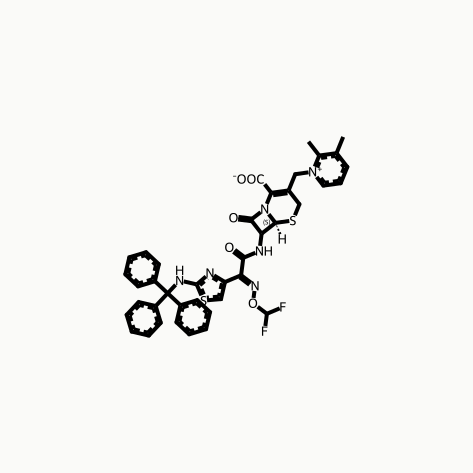 Cc1ccc[n+](CC2=C(C(=O)[O-])N3C(=O)C(NC(=O)C(=NOC(F)F)c4csc(NC(c5ccccc5)(c5ccccc5)c5ccccc5)n4)[C@@H]3SC2)c1C